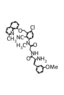 COc1cccc(/C=C(\N)C(=O)NCC(=O)N(C)c2ccc(Cl)c(COc3cccc4ccc(C)nc34)c2C#N)c1